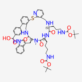 CN1C(=O)[C@H](CCCCNC(=O)OC(C)(C)C)NC(=O)[C@H](CCCNC(=O)OC(C)(C)C)NCc2cccnc2Sc2cccc(-c3ccc(C(=O)O)cc3)c2CNC(=O)[C@@H]1Cc1c[nH]c2ccccc12